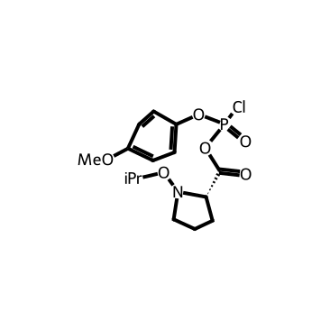 COc1ccc(OP(=O)(Cl)OC(=O)[C@@H]2CCCN2OC(C)C)cc1